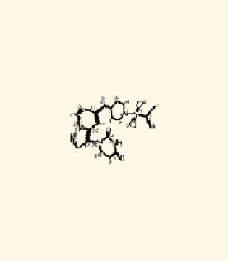 CC(C)S(=O)(=O)N1CCC(Cc2ccn3ncc(N4CCC(=O)NC4=O)c3c2)CC1